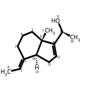 C/C=C1\CCC[C@]2(C)C([C@H](C)O)=CC[C@@H]12